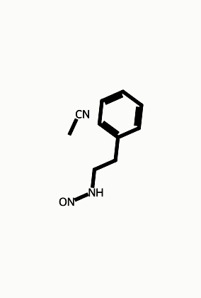 CC#N.O=NNCCc1ccccc1